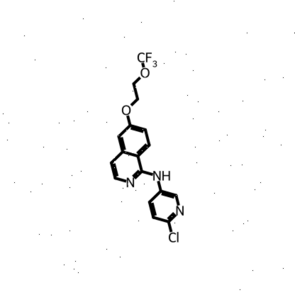 FC(F)(F)OCCOc1ccc2c(Nc3ccc(Cl)nc3)nccc2c1